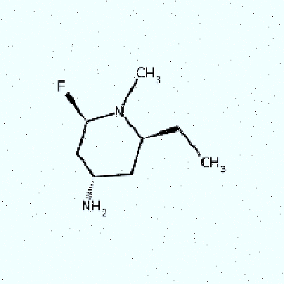 CC[C@H]1C[C@H](N)C[C@@H](F)N1C